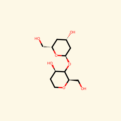 OC[C@@H]1C[C@H](O)C[C@@H](OC2[C@H](O)CCO[C@@H]2CO)O1